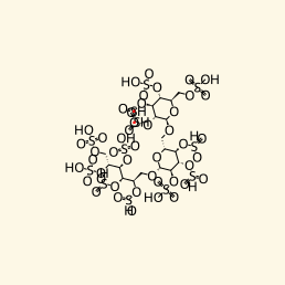 O=[SH](=O)O[C@@H]1[C@@H](OS(=O)(=O)O)[C@H](OC[C@@H](O[SH](=O)=O)[C@@H](O[SH](=O)=O)[C@H](OS(=O)(=O)O)[C@@H](COS(=O)(=O)O)OS(=O)(=O)O)O[C@H](CO[C@@H]2O[C@H](COS(=O)(=O)O)[C@@H](OS(=O)(=O)O)[C@H](O[SH](=O)=O)[C@H]2O[SH](=O)=O)[C@H]1O[SH](=O)=O